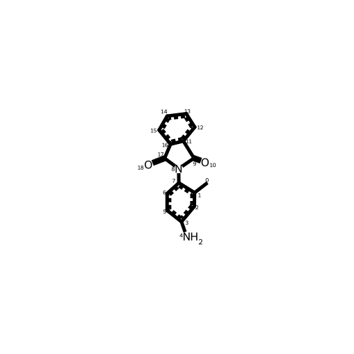 Cc1cc(N)ccc1N1C(=O)c2ccccc2C1=O